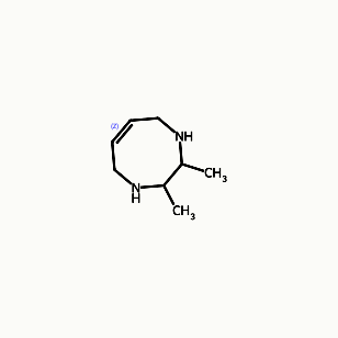 CC1NC/C=C\CNC1C